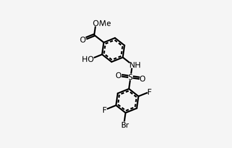 COC(=O)c1ccc(NS(=O)(=O)c2cc(F)c(Br)cc2F)cc1O